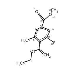 C=C(OCC)c1c(C)cc(C(=O)OC)cc1F